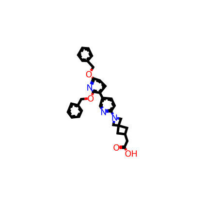 O=C(O)CC1CC2(C1)CN(c1ccc(-c3ccc(OCc4ccccc4)nc3OCc3ccccc3)cn1)C2